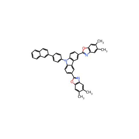 Cc1cc2nc(-c3ccc4c(c3)c3cc(-c5nc6cc(C)c(C)cc6o5)ccc3n4-c3ccc(-c4ccc5ccccc5c4)cc3)oc2cc1C